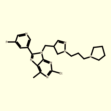 CCc1nc(C)c2nc(-c3cncc(F)c3)n(CC3C=NN(CCCN4CCCC4)C3)c2n1